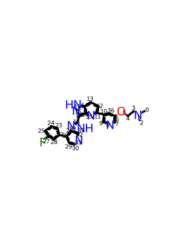 CN(C)CCOc1cncc(-c2ccc3[nH]nc(-c4nc5c(-c6cccc(F)c6)ccnc5[nH]4)c3n2)c1